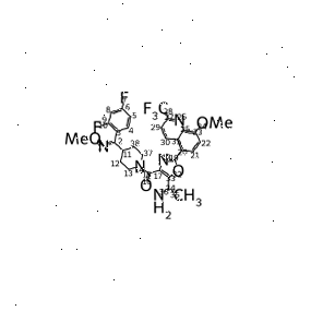 CO/N=C(\c1ccc(F)cc1F)C1CCN(C(=O)c2nc(-c3ccc(OC)c4nc(C(F)(F)F)ccc34)oc2[C@@H](C)N)CC1